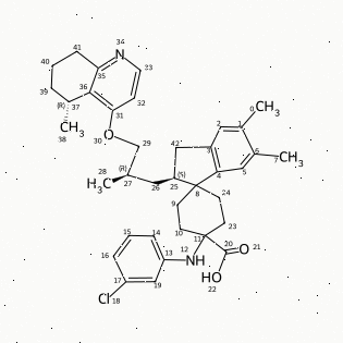 Cc1cc2c(cc1C)C1(CCC(Nc3cccc(Cl)c3)(C(=O)O)CC1)[C@@H](C[C@@H](C)COc1ccnc3c1[C@H](C)CCC3)C2